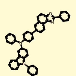 c1ccc(-c2nc3c(ccc4cc(-c5ccc(N(c6ccccc6)c6ccc7c(c6)c6ccccc6n7-c6ccccc6)cc5)ccc43)o2)cc1